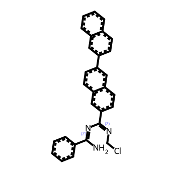 N/C(=N\C(=N/CCl)c1ccc2cc(-c3ccc4ccccc4c3)ccc2c1)c1ccccc1